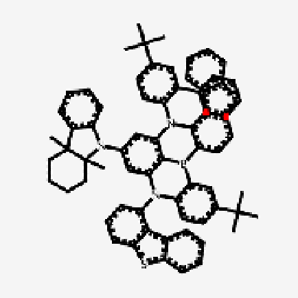 CC(C)(C)c1ccc2c(c1)B1c3ccc4oc5ccccc5c4c3N(c3ccc(C(C)(C)C)cc3-c3ccccc3)c3cc(N4c5ccccc5C5(C)CCCCC45C)cc(c31)N2c1cccc2sc3ccccc3c12